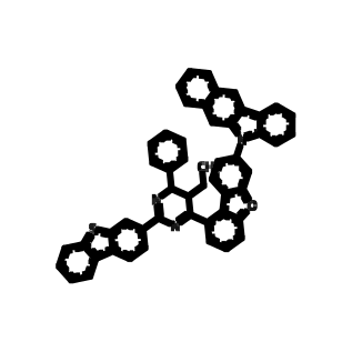 CCC1C(c2cccc3oc4cc(-n5c6ccccc6c6cc7ccccc7cc65)ccc4c23)=NC(c2ccc3c(c2)sc2ccccc23)=NC1c1ccccc1